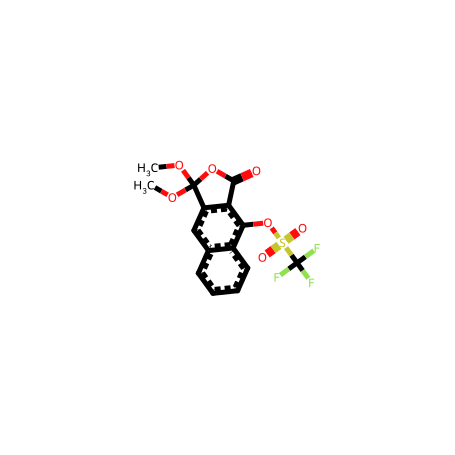 COC1(OC)OC(=O)c2c1cc1ccccc1c2OS(=O)(=O)C(F)(F)F